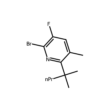 CCCC(C)(C)c1nc(Br)c(F)cc1C